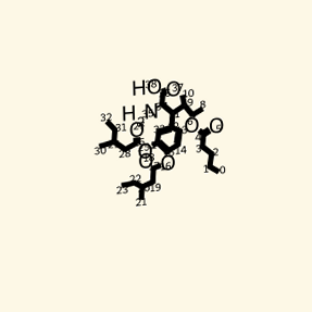 CCCCC(=O)OC(C)C(C)C(c1ccc(OC(=O)CC(C)CC)c(OC(=O)CC(C)CC)c1)[C@H](N)C(=O)O